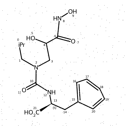 CC(C)CN(CC(O)C(=O)NO)C(=O)N[C@@H](Cc1ccccc1)C(=O)O